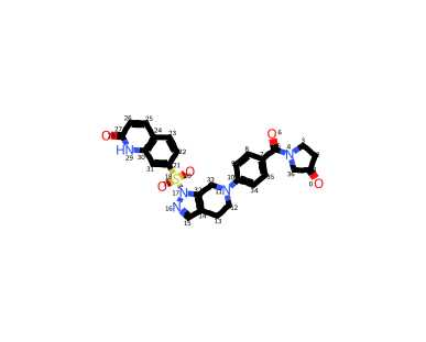 O=C1CCN(C(=O)c2ccc(N3CCc4cnn(S(=O)(=O)c5ccc6ccc(=O)[nH]c6c5)c4C3)cc2)C1